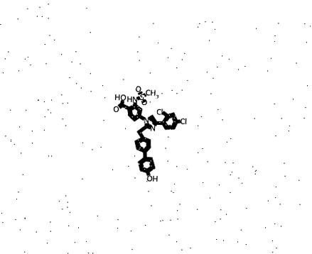 CS(=O)(=O)Nc1cc(-n2cc(-c3ccc(Cl)cc3Cl)nc2Cc2ccc(-c3ccc(O)cc3)cc2)ccc1C(=O)O